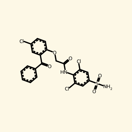 NS(=O)(=O)c1cc(Cl)c(NC(=O)COc2ccc(Cl)cc2C(=O)c2ccccc2)c(Cl)c1